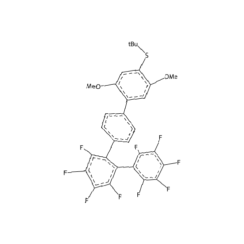 COc1cc(-c2ccc(-c3c(F)c(F)c(F)c(F)c3-c3c(F)c(F)c(F)c(F)c3F)cc2)c(OC)cc1SC(C)(C)C